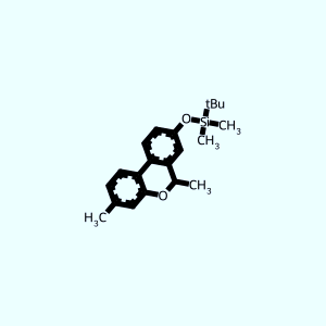 Cc1ccc2c(c1)OC(C)c1cc(O[Si](C)(C)C(C)(C)C)ccc1-2